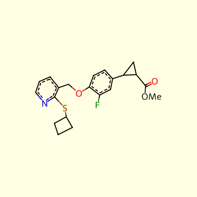 COC(=O)C1CC1c1ccc(OCc2cccnc2SC2CCC2)c(F)c1